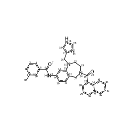 Cc1cccc(C(=O)Nc2ccc3c(c2)N(Cc2c[nH]cn2)CCN(C(=O)c2cccc4ccccc24)C3)c1